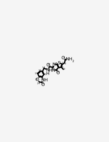 Cc1c(CC(N)=O)sc2nc(C(=O)NCc3ccc4c(c3)NC(=O)CO4)[nH]c(=O)c12